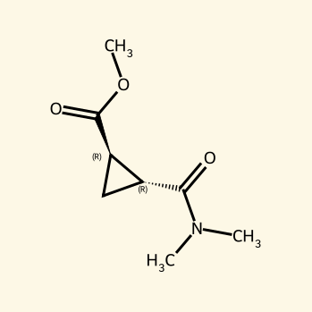 COC(=O)[C@@H]1C[C@H]1C(=O)N(C)C